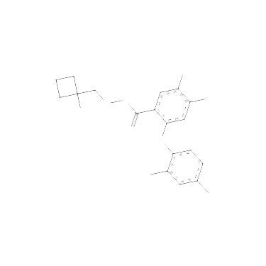 Cc1cc(I)ccc1Nc1cc(F)c(Br)cc1C(=O)NOCC1(O)CCC1